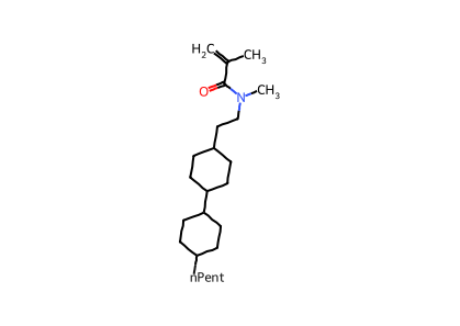 C=C(C)C(=O)N(C)CCC1CCC(C2CCC(CCCCC)CC2)CC1